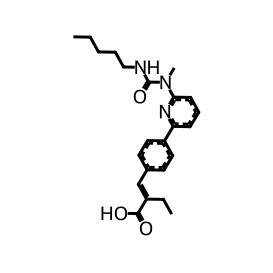 CCCCCNC(=O)N(C)c1cccc(-c2ccc(/C=C(\CC)C(=O)O)cc2)n1